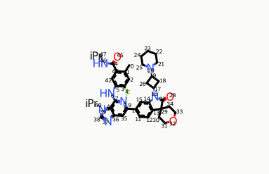 Cc1cc(F)c(Nc2nc(-c3ccc4c(c3)N([C@H]3C[C@@H](N5CCCCC5)C3)C(=O)C43CCOCC3)cc3ncn(C(C)C)c23)cc1C(=O)NC(C)C